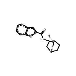 O=C(N[C@@H]1CN2CCC1CC2)c1cc2ncccc2s1